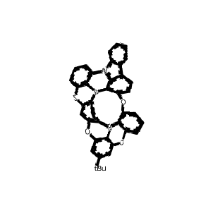 CC(C)(C)c1cc2c3c(c1)Oc1cccc4c1B3c1cc3c(cc1O2)Sc1cccc2c1B3c1c(ccc3c5ccccc5n-2c13)O4